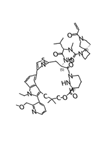 C=CC(=O)N1CC[C@@]2(CCN2C(=O)N(C)C(C(=O)N[C@H]2Cc3nc(cs3)-c3ccc4c(c3)c(c(-c3cccnc3COC)n4CC)CC(C)(C)COC(=O)[C@@H]3CCCN(N3)C2=O)C(C)C)C1